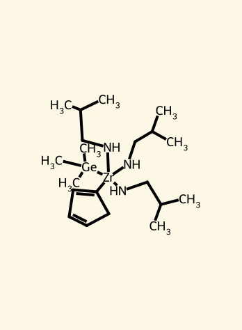 CC(C)C[NH][Zr]([NH]CC(C)C)([NH]CC(C)C)([C]1=CC=CC1)[Ge]([CH3])([CH3])[CH3]